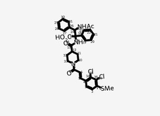 CSc1ccc(C=CC(=O)N2CCC(C(=O)NC(C(=O)O)(c3ccccc3)C(NC(C)=O)c3ccccc3)CC2)c(Cl)c1Cl